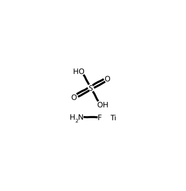 NF.O=S(=O)(O)O.[Ti]